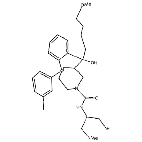 CNCC(CC(C)C)NC(=O)N1CCCC(C(O)(CCCCOC)c2ccccc2Oc2cccc(C)c2)C1